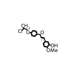 C=C(Cl)COc1ccc(C(=O)/C=C/c2ccc(OC)c(O)c2)cc1